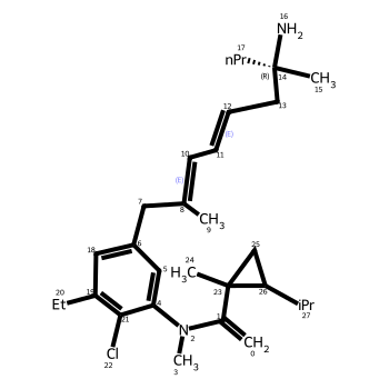 C=C(N(C)c1cc(C/C(C)=C/C=C/C[C@](C)(N)CCC)cc(CC)c1Cl)C1(C)CC1C(C)C